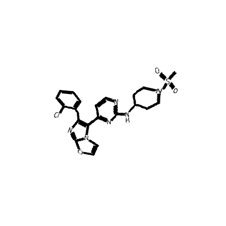 CS(=O)(=O)N1CCC(Nc2nccc(-c3c(-c4ccccc4Cl)nc4occn34)n2)CC1